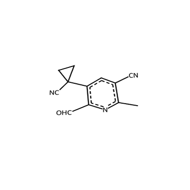 Cc1nc(C=O)c(C2(C#N)CC2)cc1C#N